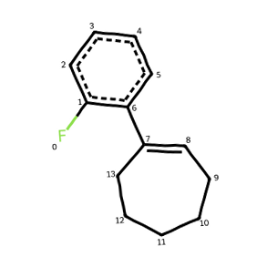 Fc1ccccc1C1=CCCCCC1